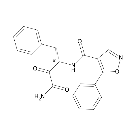 NC(=O)C(=O)[C@H](Cc1ccccc1)NC(=O)c1cnoc1-c1ccccc1